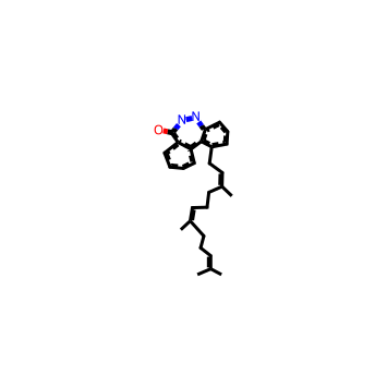 CC(C)=CCCC(C)=CCCC(C)=CCc1cccc2nnc(=O)c3ccccc3c12